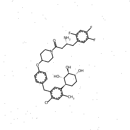 Cc1cc(Cl)c(Cc2ccc(OC3CCN(C(=O)C[C@H](N)Cc4cc(F)c(F)cc4F)CC3)cc2)cc1[C@@H]1CC[C@@H](O)[C@H](O)[C@H]1O